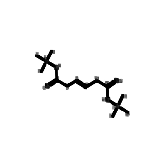 C[Si](C)(C)OC(=O)C/C=C/CC(=O)O[Si](C)(C)C